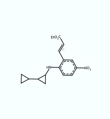 CCOC(=O)/C=C/c1cc([N+](=O)[O-])ccc1NC1CC1C1CC1